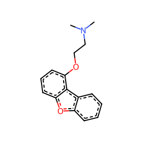 CN(C)CCOc1cccc2oc3ccccc3c12